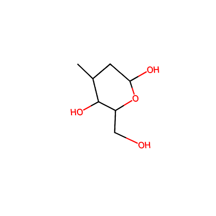 CC1CC(O)OC(CO)C1O